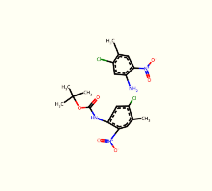 Cc1cc([N+](=O)[O-])c(N)cc1Cl.Cc1cc([N+](=O)[O-])c(NC(=O)OC(C)(C)C)cc1Cl